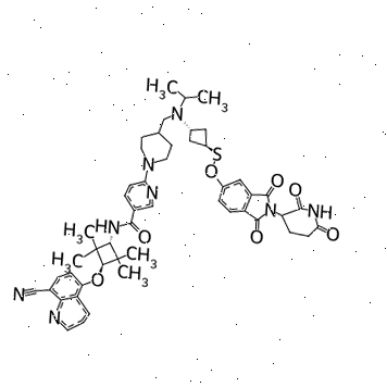 CC(C)N(CC1CCN(c2ccc(C(=O)N[C@H]3C(C)(C)[C@H](Oc4ccc(C#N)c5ncccc45)C3(C)C)cn2)CC1)[C@H]1C[C@H](SOc2ccc3c(c2)C(=O)N(C2CCC(=O)NC2=O)C3=O)C1